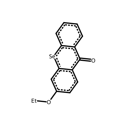 CCOc1ccc2c(=O)c3ccccc3[se]c2c1